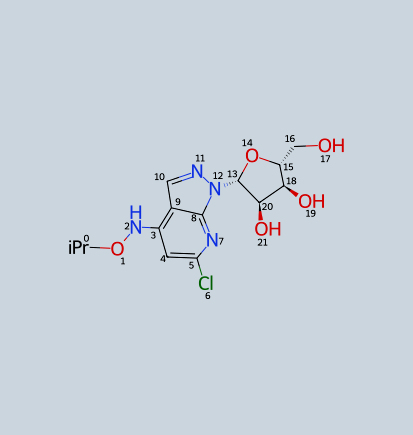 CC(C)ONc1cc(Cl)nc2c1cnn2[C@@H]1O[C@H](CO)[C@@H](O)[C@H]1O